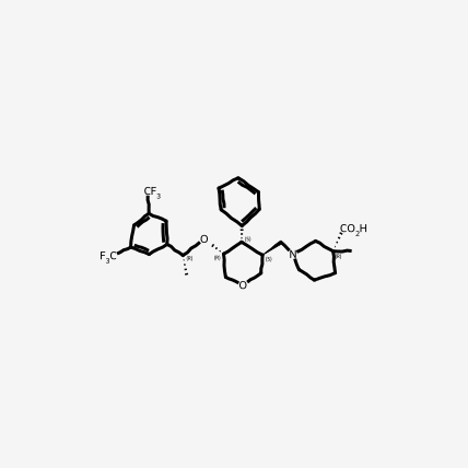 C[C@@H](O[C@H]1COC[C@H](CN2CCC[C@@](C)(C(=O)O)C2)[C@H]1c1ccccc1)c1cc(C(F)(F)F)cc(C(F)(F)F)c1